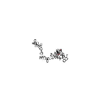 C#Cc1c(F)ccc2cccc(-c3nc4c5c(nc(OC[C@@]67CC[C@@H](COC(=O)N8CCN(C(=O)C9CCN(c%10ccc%11c(c%10)CN(C%10CCC(=O)NC%10=O)C%11=O)CC9)[C@H](C)C8)N6CC(=C)C7)nc5c3F)N3C[C@H]5CC[C@@H]([C@H]3CCO4)N5C(=O)O)c12